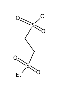 CCS(=O)(=O)CCS([O])(=O)=O